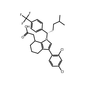 CC(C)CC[C@@H](c1ccc(C(F)(F)F)cc1)n1cc(-c2ccc(Cl)cc2Cl)c2c1C(CC(=O)O)CCC2